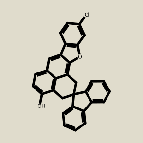 Oc1ccc2cc3c(oc4cc(Cl)ccc43)c3c2c1CC1(C3)c2ccccc2-c2ccccc21